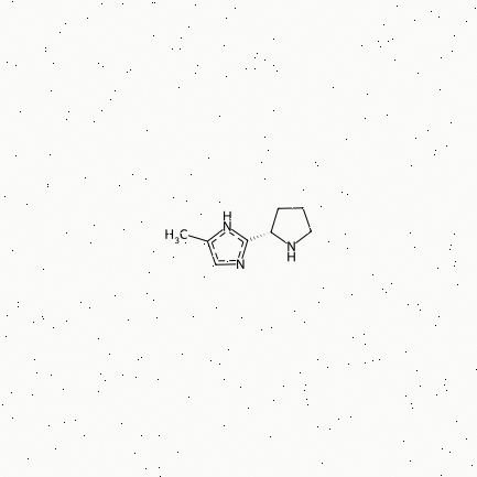 Cc1cnc([C@@H]2CCCN2)[nH]1